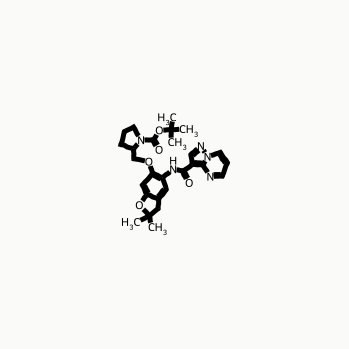 CC(C)(C)OC(=O)N1CCCC1COc1cc2c(cc1NC(=O)c1cnn3cccnc13)CC(C)(C)O2